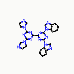 c1ccc2c(c1)ncn2-c1nc(-c2nc(-n3ccnc3)nc(-n3ccnc3)n2)nc(-n2cnc3ccccc32)n1